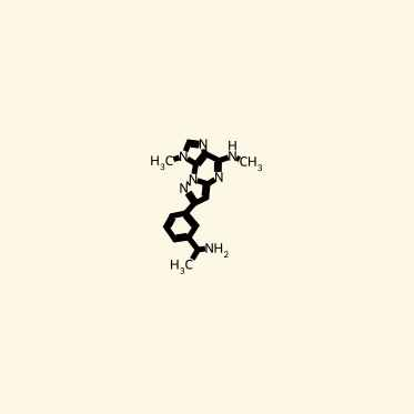 CNc1nc2cc(-c3cccc(C(C)N)c3)nn2c2c1ncn2C